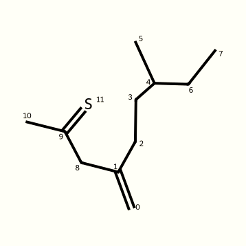 C=C(CCC(C)CC)CC(C)=S